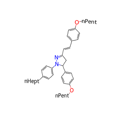 CCCCCCCc1ccc(N2N=C(C=Cc3ccc(OCCCCC)cc3)CC2c2ccc(OCCCCC)cc2)cc1